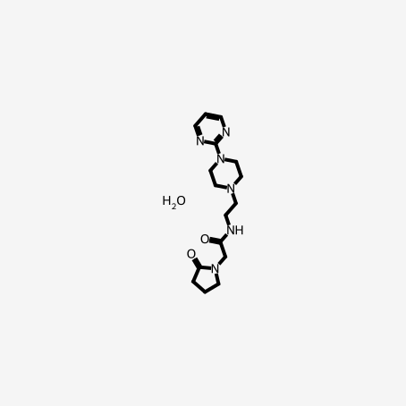 O.O=C(CN1CCCC1=O)NCCN1CCN(c2ncccn2)CC1